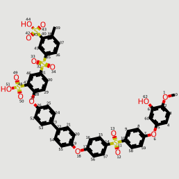 COc1ccc(Oc2ccc(S(=O)(=O)c3ccc(Oc4ccc(-c5ccc(Oc6ccc(S(=O)(=O)c7ccc(C)c(S(=O)(=O)O)c7)cc6S(=O)(=O)O)cc5)cc4)cc3)cc2)cc1O